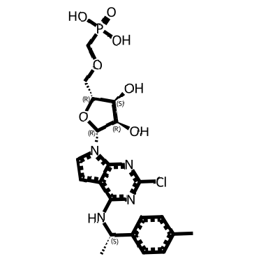 Cc1ccc([C@H](C)Nc2nc(Cl)nc3c2ccn3[C@@H]2O[C@H](COCP(=O)(O)O)[C@@H](O)[C@H]2O)cc1